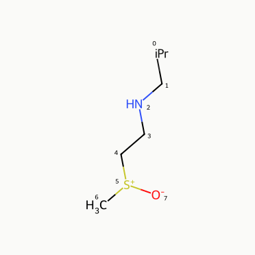 CC(C)CNCC[S+](C)[O-]